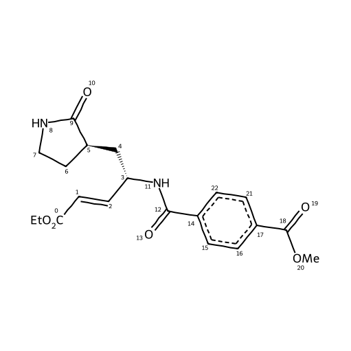 CCOC(=O)C=C[C@H](C[C@H]1CCNC1=O)NC(=O)c1ccc(C(=O)OC)cc1